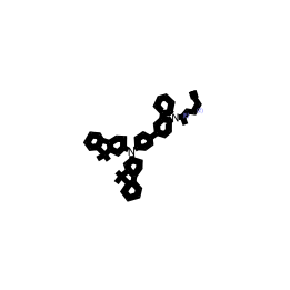 C#C/C=C\C=C(/C)n1c2ccccc2c2cc(-c3ccc(N(c4ccc5c(c4)C(C)(C)c4ccccc4-5)c4ccc5c(c4)C(C)(C)c4ccccc4-5)cc3)ccc21